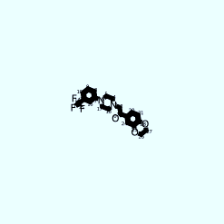 O=C(CN1CCN(c2cccc(C(F)(F)F)c2)CC1)c1ccc2c(c1)OCCO2